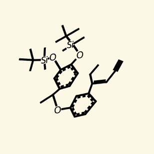 C#C/C=C(\CC)c1cccc(OC(C)c2ccc(O[Si](C)(C)C(C)(C)C)c(O[Si](C)(C)C(C)(C)C)c2)c1